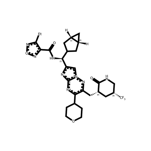 CCc1nonc1C(=O)N[C@H](c1cn2nc(C[C@H]3C[C@@H](C(F)(F)F)CNC3=O)c(C3CCOCC3)nc2n1)C1C[C@@H]2C[C@@H]2C1